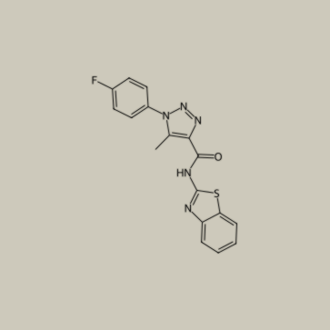 Cc1c(C(=O)Nc2nc3ccccc3s2)nnn1-c1ccc(F)cc1